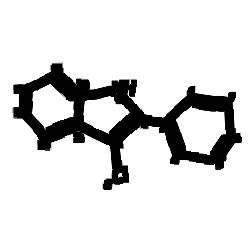 Clc1c(-c2c[c]ccc2)[nH]c2ccccc12